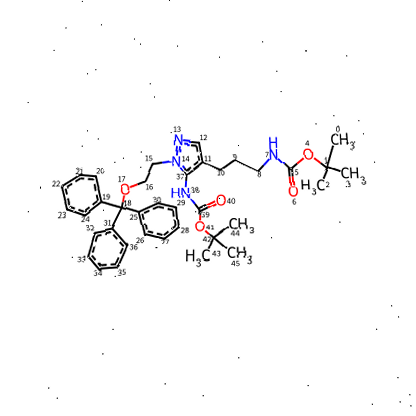 CC(C)(C)OC(=O)NCCCc1cnn(CCOC(c2ccccc2)(c2ccccc2)c2ccccc2)c1NC(=O)OC(C)(C)C